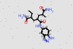 CCC(CC(CC(C)C(N)=O)C(=O)Nc1ccc2[nH]nnc2c1)C(N)=O